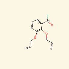 C=CCOc1cccc(C(=O)F)c1OCC=C